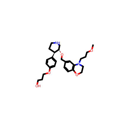 COCCCN1CCOc2ccc(CO[C@H]3CNCC[C@@H]3c3ccc(OCCCO)cc3)cc21